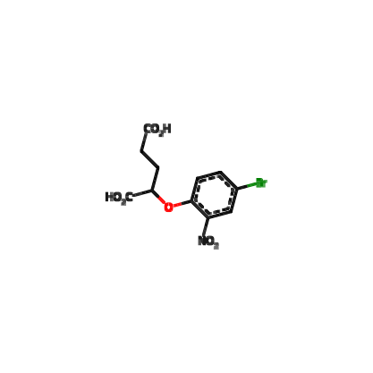 O=C(O)CCC(Oc1ccc(Br)cc1[N+](=O)[O-])C(=O)O